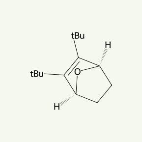 CC(C)(C)C1=C(C(C)(C)C)[C@H]2CC[C@@H]1O2